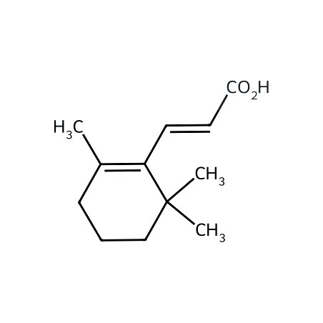 CC1=C(C=CC(=O)O)C(C)(C)CCC1